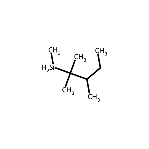 CCC(C)C(C)(C)[SiH2]C